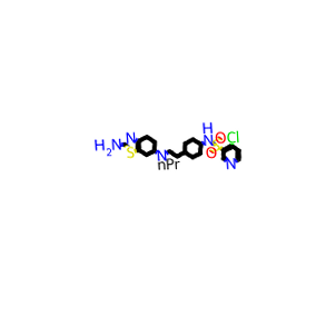 CCCN(CCC1CCC(NS(=O)(=O)c2cnccc2Cl)CC1)C1CCc2nc(N)sc2C1